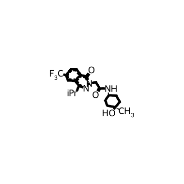 CC(C)c1nn(CC(=O)N[C@H]2CC[C@](C)(O)CC2)c(=O)c2ccc(C(F)(F)F)cc12